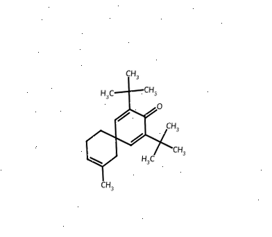 CC1=CCCC2(C=C(C(C)(C)C)C(=O)C(C(C)(C)C)=C2)C1